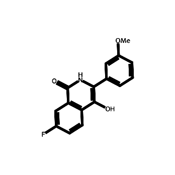 COc1cccc(-c2[nH]c(=O)c3cc(F)ccc3c2O)c1